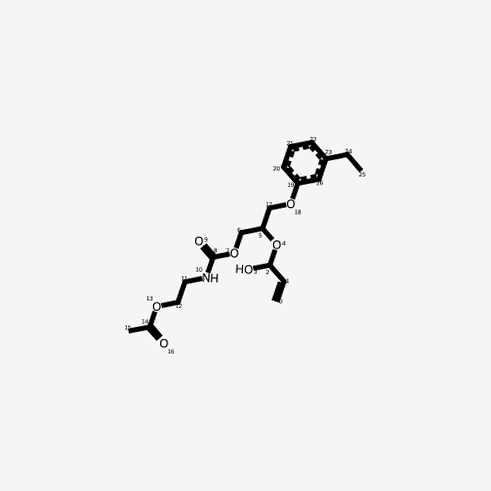 C=CC(O)OC(COC(=O)NCCOC(C)=O)COc1cccc(CC)c1